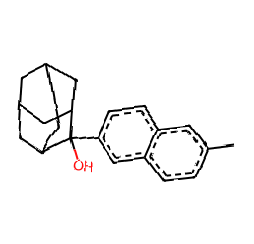 Cc1ccc2cc(C3(O)C4CC5CC(C4)CC3C5)ccc2c1